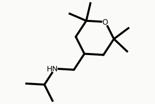 CC(C)NCC1CC(C)(C)OC(C)(C)C1